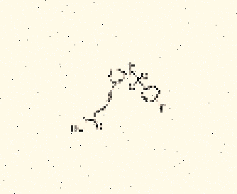 O=C(C=CC#Cc1cccc(NS(=O)(=O)c2ccc(F)cc2)c1)NO